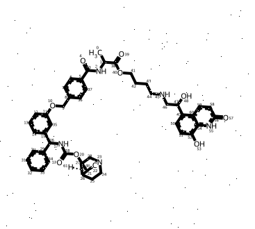 CC(NC(=O)c1ccc(COc2cccc(C(NC(=O)O[C@H]3CN4CCC3CC4)c3ccccc3)c2)cc1)C(=O)OCCCCNCC(O)c1ccc(O)c2[nH]c(=O)ccc12